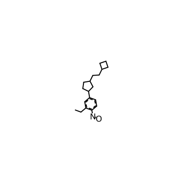 CCc1cc(C2CCC(CCC3CCC3)C2)ccc1N=O